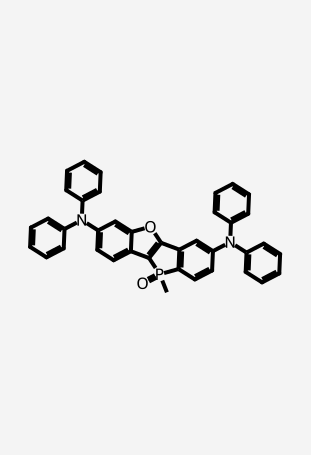 CP1(=O)c2ccc(N(c3ccccc3)c3ccccc3)cc2-c2oc3cc(N(c4ccccc4)c4ccccc4)ccc3c21